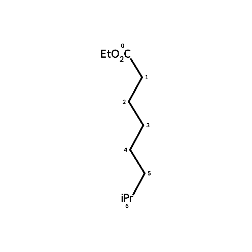 CCOC(=O)CCCCCC(C)C